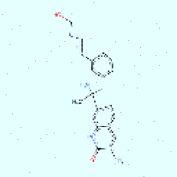 Cc1cc2ccc(C(C)(N)Cc3cccc(/C=C/CCO)c3)cc2[nH]c1=O